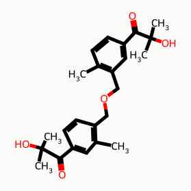 Cc1cc(C(=O)C(C)(C)O)ccc1COCc1cc(C(=O)C(C)(C)O)ccc1C